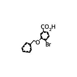 O=C(O)c1ccc(Br)c(OCc2ccccc2)c1